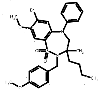 CCCCC1(C)CN(c2ccccc2)c2cc(Br)c(OC)cc2S(=O)(=O)N1Cc1ccc(OC)cc1